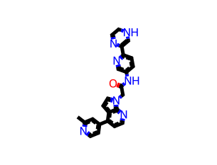 Cc1cc(-c2ccnc3c2ccn3CC(=O)Nc2ccc(C3=CNCC=N3)nc2)ccn1